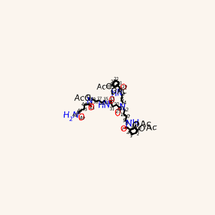 CC(=O)Oc1cccc(C(=O)NCCCCN(CCCNC(=O)c2cccc(OC(C)=O)c2OC(C)=O)C(=O)CCC(=O)NCCCCCN(OC(C)=O)C(=O)CCCC(N)=O)c1OC(C)=O